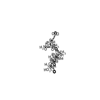 CC[C@H](C)[C@@H]([C@@H](CC(=O)N1CCC[C@H]1[C@H](OC)[C@@H](C)C(=O)N[C@@H](Cc1ccccc1)C(=O)O)OC)N(C)C(=O)[C@@H](NC(=O)[C@H](C(C)C)N(C)CCc1ccc(N(C)C(=O)[C@H](CCCNC(N)=O)NC(=O)[C@@H](NC(=O)CCCCCN2C(=O)C=CC2=O)C(C)C)cc1)C(C)C